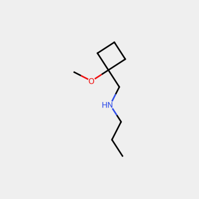 CCCNCC1(OC)CCC1